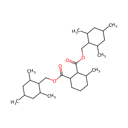 CC1CC(C)C(COC(=O)C2CCCC(C)C2C(=O)OCC2C(C)CC(C)CC2C)C(C)C1